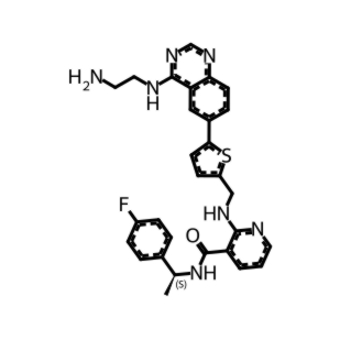 C[C@H](NC(=O)c1cccnc1NCc1ccc(-c2ccc3ncnc(NCCN)c3c2)s1)c1ccc(F)cc1